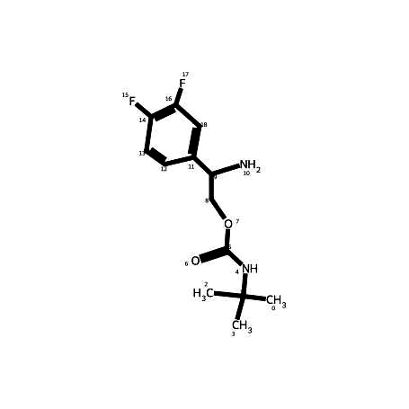 CC(C)(C)NC(=O)OCC(N)c1ccc(F)c(F)c1